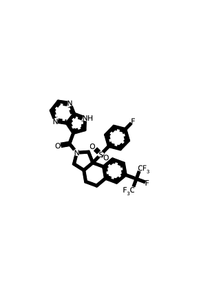 O=C(c1c[nH]c2nccnc12)N1CC2CCc3cc(C(F)(C(F)(F)F)C(F)(F)F)ccc3C2(S(=O)(=O)c2ccc(F)cc2)C1